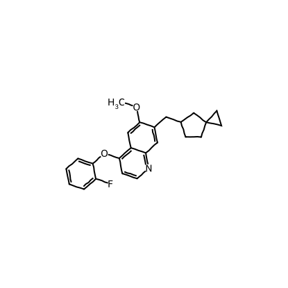 COc1cc2c(Oc3ccccc3F)ccnc2cc1CC1CCC2(CC2)C1